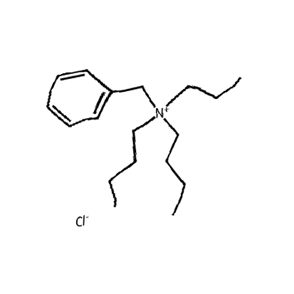 CCCC[N+](CCC)(CCCC)Cc1ccccc1.[Cl-]